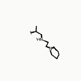 CC(I)CNCCN1CCCCC1